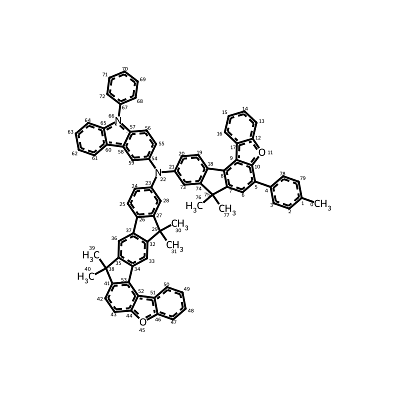 Cc1ccc(-c2cc3c(c4c2oc2ccccc24)-c2ccc(N(c4ccc5c(c4)C(C)(C)c4cc6c(cc4-5)C(C)(C)c4ccc5oc7ccccc7c5c4-6)c4ccc5c(c4)c4ccccc4n5-c4ccccc4)cc2C3(C)C)cc1